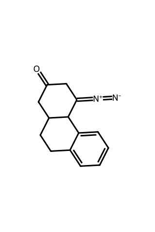 [N-]=[N+]=C1CC(=O)CC2CCc3ccccc3C12